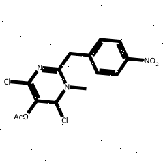 CC(=O)OC1=C(Cl)N=C(Cc2ccc([N+](=O)[O-])cc2)N(C)C1Cl